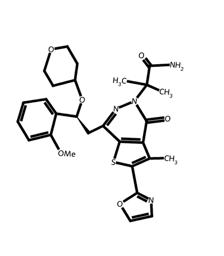 COc1ccccc1[C@H](Cc1nn(C(C)(C)C(N)=O)c(=O)c2c(C)c(-c3ncco3)sc12)OC1CCOCC1